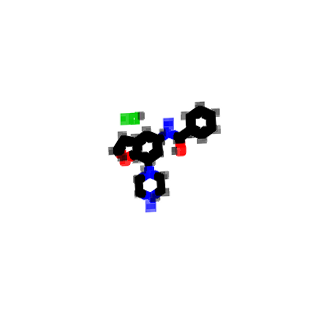 Cl.O=C(Nc1cc(N2CCNCC2)c2occc2c1)c1ccccc1